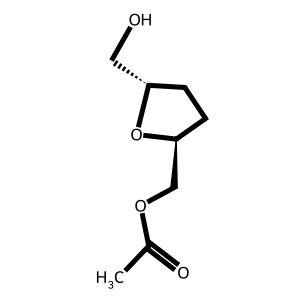 CC(=O)OC[C@@H]1CC[C@@H](CO)O1